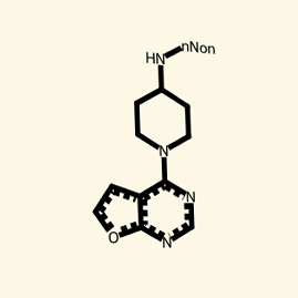 CCCCCCCCCNC1CCN(c2ncnc3occc23)CC1